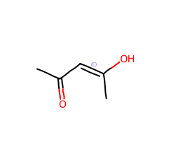 CC(=O)/C=C(\C)O